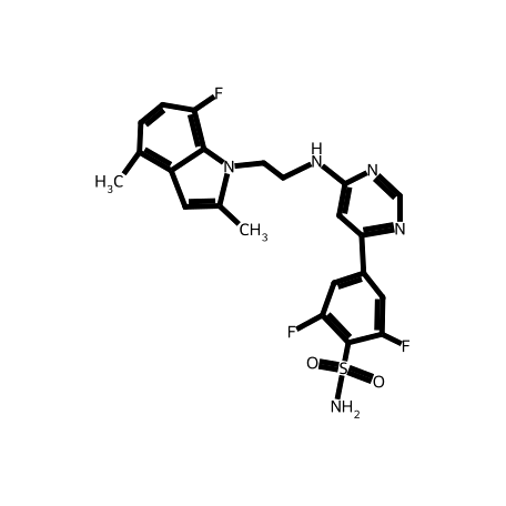 Cc1ccc(F)c2c1cc(C)n2CCNc1cc(-c2cc(F)c(S(N)(=O)=O)c(F)c2)ncn1